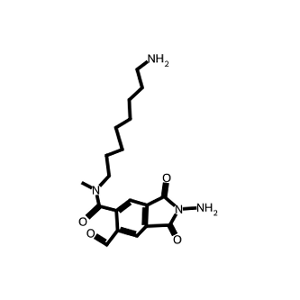 CN(CCCCCCCCN)C(=O)c1cc2c(cc1C=O)C(=O)N(N)C2=O